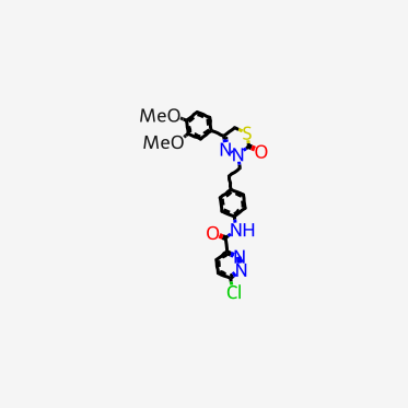 COc1ccc(C2=NN(CCc3ccc(NC(=O)c4ccc(Cl)nn4)cc3)C(=O)SC2)cc1OC